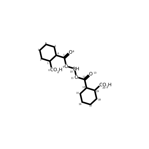 O=C(O)C1CCCCC1C(=O)OBOC(=O)C1CCCCC1C(=O)O